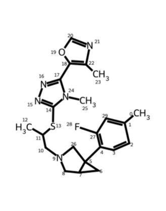 Cc1ccc(C23CC2CN(CC(C)Sc2nnc(-c4ocnc4C)n2C)C3)c(F)c1